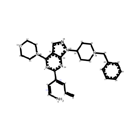 C=C/C=C(\C=C/N)c1nc(N2CCOCC2)c2cnn(C3CCN(Cc4ccccc4)CC3)c2n1